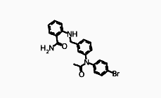 CC(=O)N(c1ccc(Br)cc1)c1cccc(CNc2ccccc2C(N)=O)c1